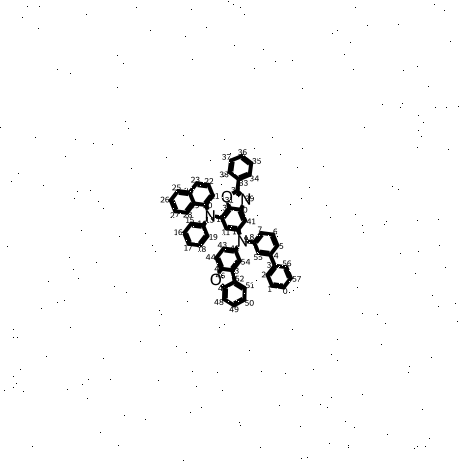 c1ccc(-c2cccc(N(c3cc(N(c4ccccc4)c4cccc5ccccc45)c4oc(-c5ccccc5)nc4c3)c3ccc4oc5ccccc5c4c3)c2)cc1